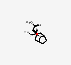 COC(=O)C=C1CC2CCC(C1)N2C(=O)OC(C)(C)C